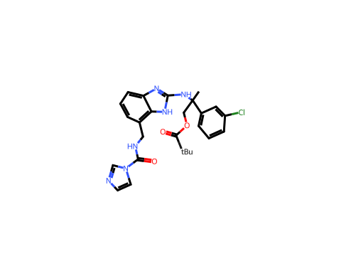 CC(C)(C)C(=O)OCC(C)(Nc1nc2cccc(CNC(=O)n3ccnc3)c2[nH]1)c1cccc(Cl)c1